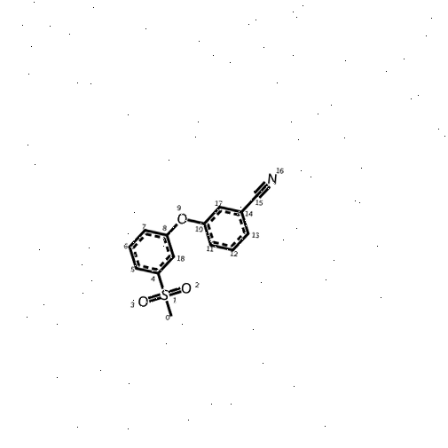 CS(=O)(=O)c1cccc(Oc2cccc(C#N)c2)c1